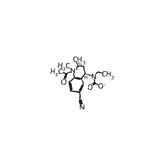 CCN(C(=O)[O-])[C@@H]1C[C@H](C)[N+](C)(C(C)=O)c2ccc(C#N)cc21